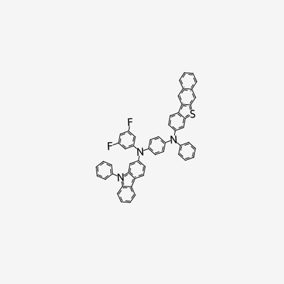 Fc1cc(F)cc(N(c2ccc(N(c3ccccc3)c3ccc4c(c3)sc3cc5ccccc5cc34)cc2)c2ccc3c4ccccc4n(-c4ccccc4)c3c2)c1